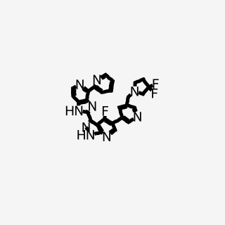 Fc1c(-c2cncc(CN3CCC(F)(F)C3)c2)cnc2[nH]nc(-c3nc4c(-c5ccccn5)nccc4[nH]3)c12